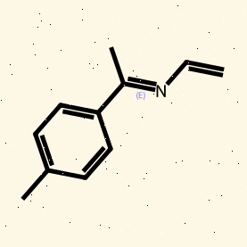 C=C/N=C(\C)c1ccc(C)cc1